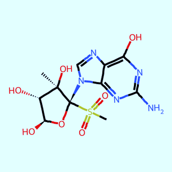 C[C@@]1(O)[C@@H](O)[C@H](O)O[C@@]1(n1cnc2c(O)nc(N)nc21)S(C)(=O)=O